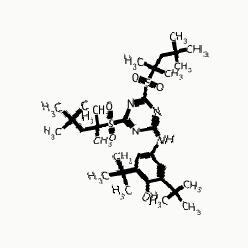 CC(C)(C)CC(C)(C)S(=O)(=O)c1nc(Nc2cc(C(C)(C)C)c(O)c(C(C)(C)C)c2)nc(S(=O)(=O)C(C)(C)CC(C)(C)C)n1